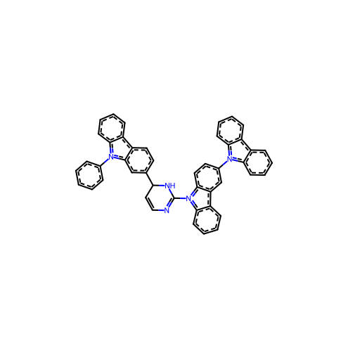 C1=CC(c2ccc3c4ccccc4n(-c4ccccc4)c3c2)NC(n2c3ccccc3c3cc(-n4c5ccccc5c5ccccc54)ccc32)=N1